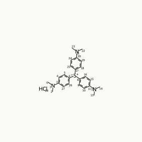 CN(C)c1ccc([S+](c2ccc(N(C)C)cc2)c2ccc(N(C)C)cc2)cc1.Cl